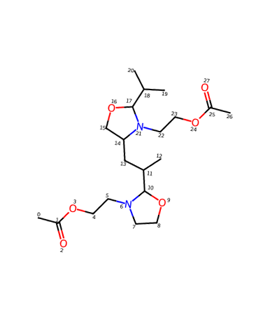 CC(=O)OCCN1CCOC1C(C)CC1COC(C(C)C)N1CCOC(C)=O